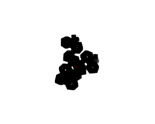 C[Si]1(C)c2ccccc2-c2c(-c3cccc4c(-c5cccc6c5-c5c(ccc7ccccc57)C65c6ccccc6-c6ccccc65)c5cccc(-c6cccc7c6-c6ccccc6[Si]7(C)C)c5cc34)cccc21